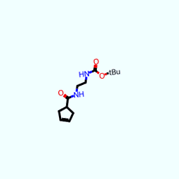 CC(C)(C)OC(=O)NCCNC(=O)C1CC=CC1